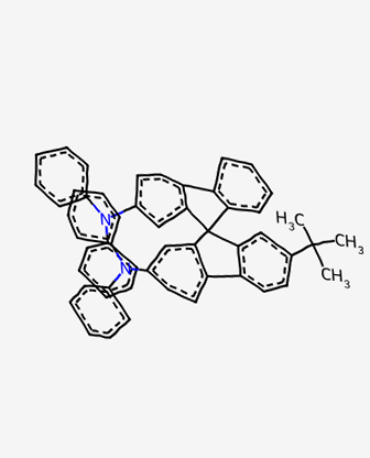 CC(C)(C)c1ccc2c(c1)C1(c3ccccc3-c3ccc(N(c4ccccc4)c4ccccc4)cc31)c1cc(N(c3ccccc3)c3ccccc3)ccc1-2